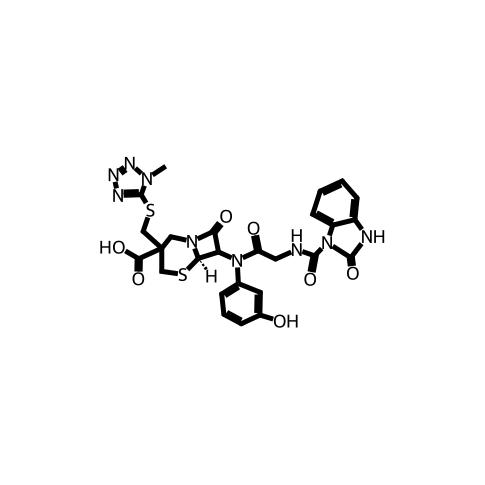 Cn1nnnc1SCC1(C(=O)O)CS[C@@H]2C(N(C(=O)CNC(=O)n3c(=O)[nH]c4ccccc43)c3cccc(O)c3)C(=O)N2C1